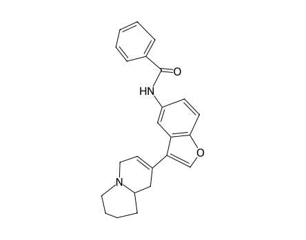 O=C(Nc1ccc2occ(C3=CCN4CCCCC4C3)c2c1)c1ccccc1